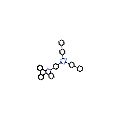 c1ccc(-c2ccc(-c3nc(-c4ccc(-c5ccccc5)cc4)nc(-c4ccc(-c5nc6c7ccccc7c7ccccc7c6c6ccccc56)cc4)n3)cc2)cc1